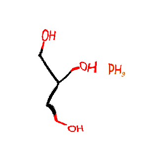 OCC(O)CO.P